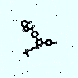 CC(=O)NCCNc1cc(N2CCN(C(=O)c3coc4c3C(=O)CCC4)CC2)nc(-c2ccc(Cl)cc2)n1